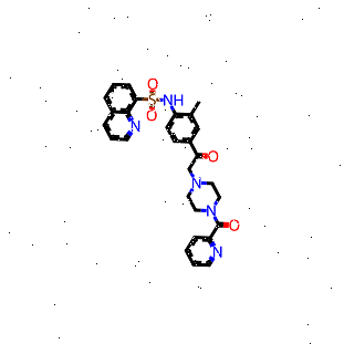 Cc1cc(C(=O)CN2CCN(C(=O)c3ccccn3)CC2)ccc1NS(=O)(=O)c1cccc2cccnc12